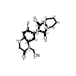 N#CCN1C(=O)COc2cc(F)c(-n3c(=O)n4n(c3=O)CCCC4)cc21